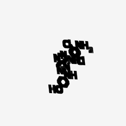 Nc1cc(Cl)c(Nc2ncnc3cnc(N[C@H]4CC[C@H](O)CC4)nc23)cc1Cl